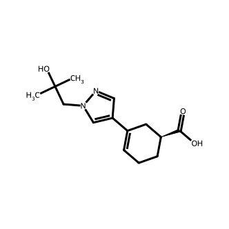 CC(C)(O)Cn1cc(C2=CCC[C@H](C(=O)O)C2)cn1